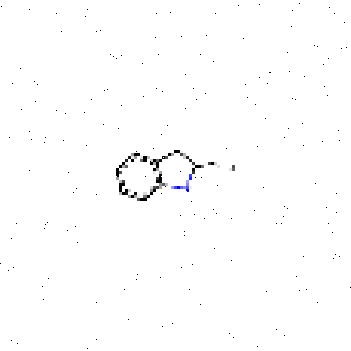 CC1Cc2ccccc2[N]1